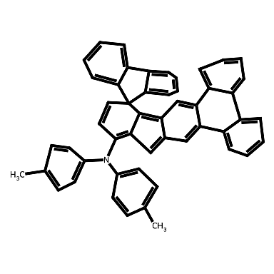 Cc1ccc(N(C2=C3C=c4cc5c6ccccc6c6ccccc6c5cc4=C3C3(C=C2)c2ccccc2-c2ccccc23)c2ccc(C)cc2)cc1